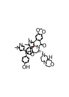 Cc1c(C(=O)N(c2ccc(O)cc2)c2cnn(C)c2)cc(-c2cc3c(cc2C(=O)N2Cc4ccccc4C[C@H]2CN2CCN4CCOC[C@@H]4C2)OCO3)n1C